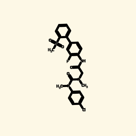 CN(CC(=O)Nc1ccc(-c2ccccc2S(C)(=O)=O)cc1F)C(=O)N(C)c1ccc(Cl)cc1